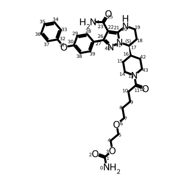 NC(=O)OCCOCCCCC(=O)N1CCC([C@@H]2CCNc3c(C(N)=O)c(-c4ccc(Oc5ccccc5)cc4)nn32)CC1